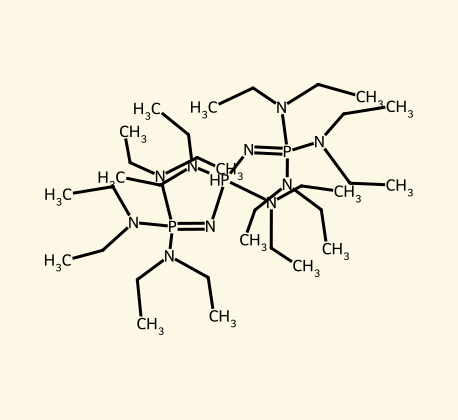 CCN(CC)P(=N[PH](N=P(N(CC)CC)(N(CC)CC)N(CC)CC)(N(CC)CC)N(CC)CC)(N(CC)CC)N(CC)CC